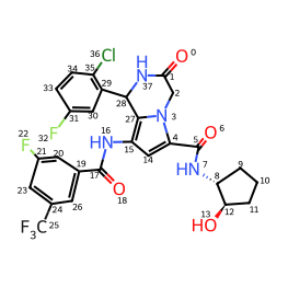 O=C1Cn2c(C(=O)N[C@@H]3CCC[C@H]3O)cc(NC(=O)c3cc(F)cc(C(F)(F)F)c3)c2C(c2cc(F)ccc2Cl)N1